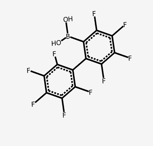 OB(O)c1c(F)c(F)c(F)c(F)c1-c1c(F)c(F)c(F)c(F)c1F